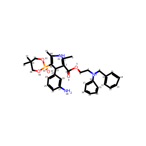 CC1=C(C(=O)OCCN(Cc2ccccc2)c2ccccc2)C(c2cccc(N)c2)C(P2(=O)OCC(C)(C)CO2)=C(C)N1